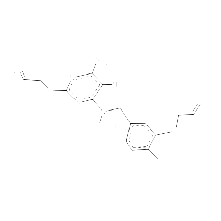 C=CCOc1nc(N)c([N+](=O)[O-])c(N(Cc2ccc(F)c(OCC=C)c2)C(=O)OCC)n1